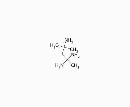 CC(C)(N)CC(C)(N)N